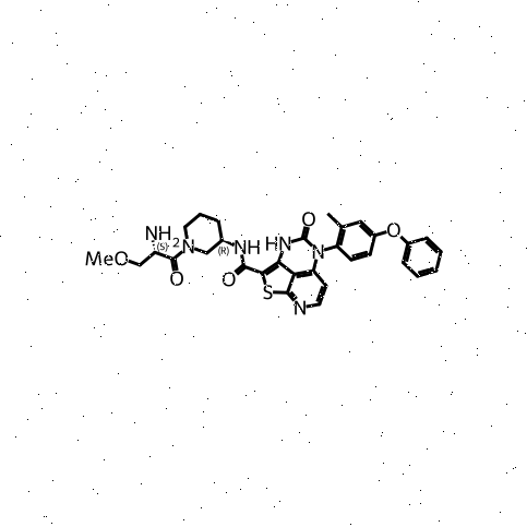 COC[C@H](N)C(=O)N1CCC[C@@H](NC(=O)c2sc3nccc4c3c2NC(=O)N4c2ccc(Oc3ccccc3)cc2C)C1